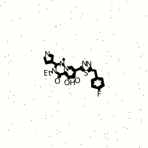 CCN1C(=O)c2c(O)c(=O)c(-c3nnc(Cc4ccc(F)cc4)s3)cn2N(C)C1C1=CCN=C1